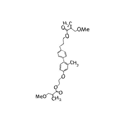 C=C(COC)C(=O)OCCCc1ccc(-c2ccc(OCCOC(=O)C(=C)COC)cc2C)cc1